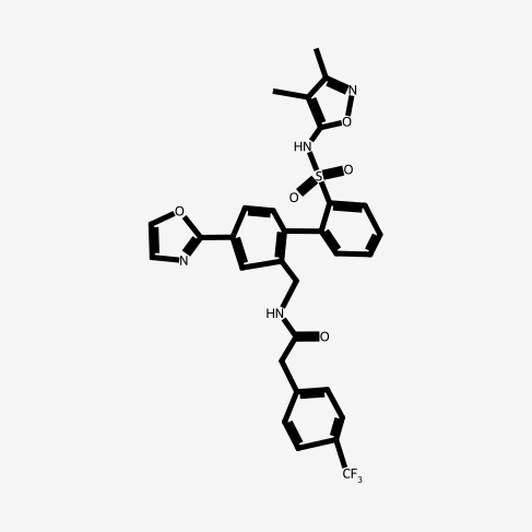 Cc1noc(NS(=O)(=O)c2ccccc2-c2ccc(-c3ncco3)cc2CNC(=O)Cc2ccc(C(F)(F)F)cc2)c1C